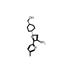 Cc1ccc(-c2nn([C@H]3CC[C@H](CO)CC3)cc2N)nc1